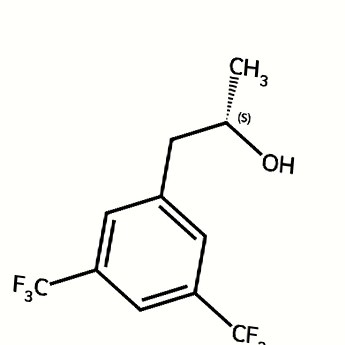 C[C@H](O)Cc1cc(C(F)(F)F)cc(C(F)(F)F)c1